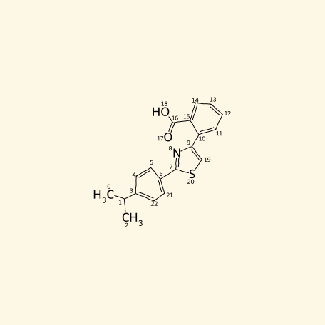 CC(C)c1ccc(-c2nc(-c3ccccc3C(=O)O)cs2)cc1